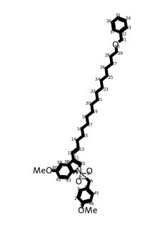 COc1ccc(CS(=O)(=O)n2cc(C=CCCCCCCCCCCCCCCCCOCc3ccccc3)c3cc(OC)ccc32)cc1